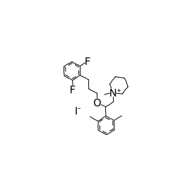 Cc1cccc(C)c1C(C[N+]1(C)CCCCC1)OCCCc1c(F)cccc1F.[I-]